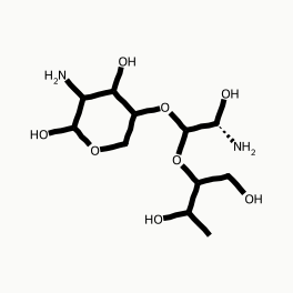 CC(O)C(CO)OC(OC1COC(O)C(N)C1O)[C@@H](N)O